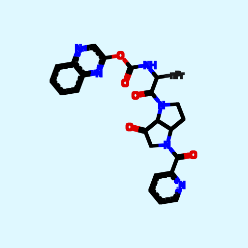 CCCC(NC(=O)Oc1cnc2ccccc2n1)C(=O)N1CCC2C1C(=O)CN2C(=O)c1ccccn1